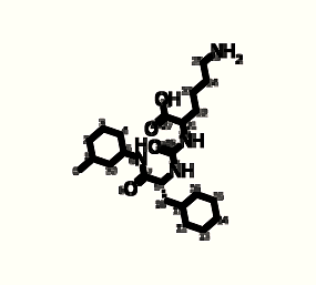 CC1CCCC(NC(=O)[C@@H](CC2CCCCC2)NC(=O)NC(CCCCN)C(=O)O)C1